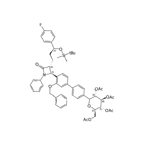 CC(=O)OC[C@H]1OC(c2ccc(-c3ccc([C@@H]4[C@@H](CC[C@H](O[Si](C)(C)C(C)(C)C)c5ccc(F)cc5)C(=O)N4c4ccccc4)c(OCc4ccccc4)c3)cc2)[C@H](OC(C)=O)[C@@H](OC(C)=O)[C@@H]1OC(C)=O